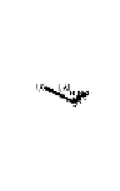 CCCCCCCCCCCCCCCCCC(=O)OC(=O)CC[C@H](N)C(=O)O.[AlH3]